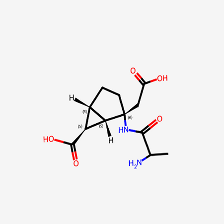 CC(N)C(=O)N[C@@]1(CC(=O)O)CC[C@H]2[C@H](C(=O)O)[C@H]21